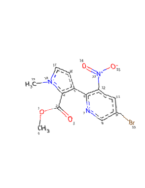 COC(=O)c1c(-c2ncc(Br)cc2[N+](=O)[O-])ccn1C